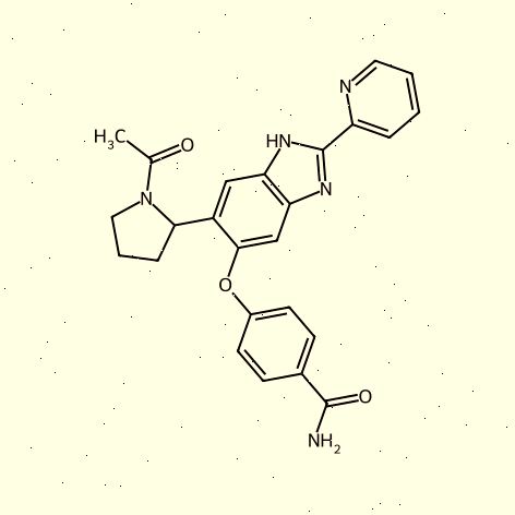 CC(=O)N1CCCC1c1cc2[nH]c(-c3ccccn3)nc2cc1Oc1ccc(C(N)=O)cc1